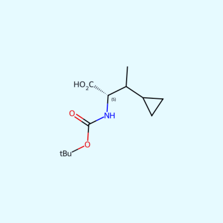 CC(C1CC1)[C@H](NC(=O)OC(C)(C)C)C(=O)O